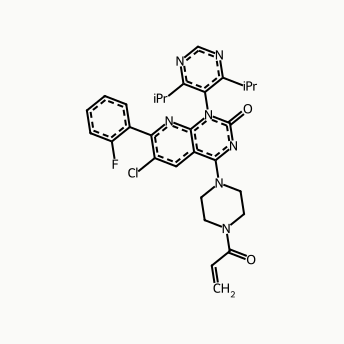 C=CC(=O)N1CCN(c2nc(=O)n(-c3c(C(C)C)ncnc3C(C)C)c3nc(-c4ccccc4F)c(Cl)cc23)CC1